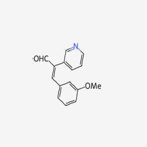 COc1cccc(C=C([C]=O)c2cccnc2)c1